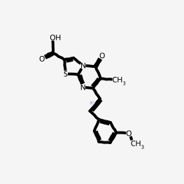 COc1cccc(/C=C/c2nc3sc(C(=O)O)cn3c(=O)c2C)c1